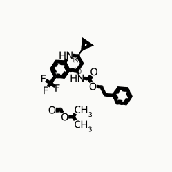 CC(C)OC=O.O=C(N[C@@H]1C[C@H](C2CC2)Nc2ccc(C(F)(F)F)cc21)OCCc1ccccc1